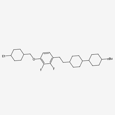 CCCCC1CCC(C2CCC(CCc3ccc(OCC4CCC(CC)CC4)c(F)c3F)CC2)CC1